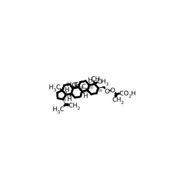 C=C(OOC[C@H]1CC[C@]2(C)[C@H]3CC[C@@H]4[C@H]5[C@H](C(=C)C)CC[C@]5(C)CC[C@@]4(C)[C@]3(C)CC[C@H]2C1(C)C)C(=O)O